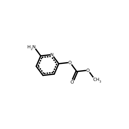 COC(=O)Oc1cccc(N)n1